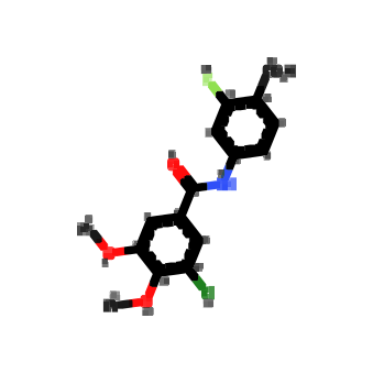 CC(C)Oc1cc(C(=O)Nc2ccc(C(=O)O)c(F)c2)cc(Cl)c1OC(C)C